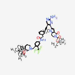 Cn1c(-c2nc(N)ncc2C#Cc2cccc(CC(=O)Nc3ccc(CN4CCCC(O[Si](C)(C)C(C)(C)C)C4)c(C(F)(F)F)c3)c2)cc2c1CCN(C(=O)OC(C)(C)C)C2=O